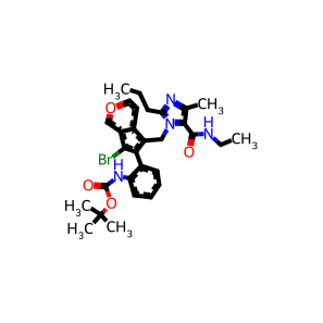 CCCc1nc(C)c(C(=O)NCC)n1Cc1c2ccocc-2c(Br)c1-c1ccccc1NC(=O)OC(C)(C)C